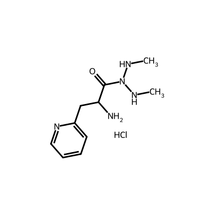 CNN(NC)C(=O)C(N)Cc1ccccn1.Cl